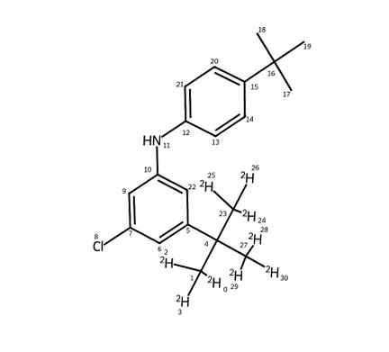 [2H]C([2H])([2H])C(c1cc(Cl)cc(Nc2ccc(C(C)(C)C)cc2)c1)(C([2H])([2H])[2H])C([2H])([2H])[2H]